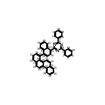 c1ccc(-c2nc(-c3ccccc3)nc(-c3ccc(-c4cccc5ccc6c7ccccc7ccc6c45)c4ccccc34)n2)cc1